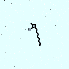 C=CCCCCCCC1=C(CC)C(C)C1